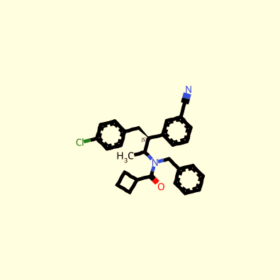 CC([C@@H](Cc1ccc(Cl)cc1)c1cccc(C#N)c1)N(Cc1ccccc1)C(=O)C1CCC1